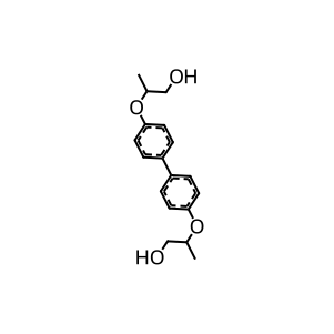 CC(CO)Oc1ccc(-c2ccc(OC(C)CO)cc2)cc1